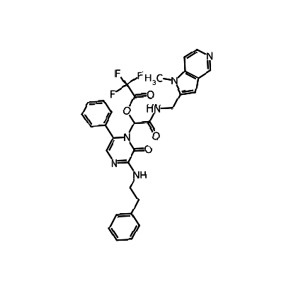 Cn1c(CNC(=O)C(OC(=O)C(F)(F)F)n2c(-c3ccccc3)cnc(NCCc3ccccc3)c2=O)cc2cnccc21